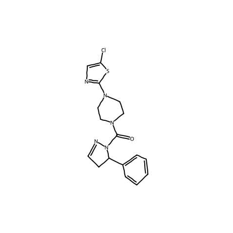 O=C(N1CCN(c2ncc(Cl)s2)CC1)N1N=CCC1c1ccccc1